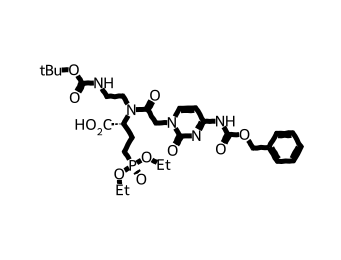 CCOP(=O)(CC[C@H](C(=O)O)N(CCNC(=O)OC(C)(C)C)C(=O)Cn1ccc(NC(=O)OCc2ccccc2)nc1=O)OCC